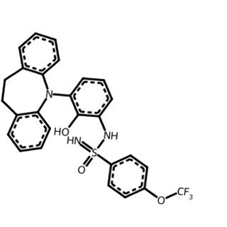 N=S(=O)(Nc1cccc(N2c3ccccc3CCc3ccccc32)c1O)c1ccc(OC(F)(F)F)cc1